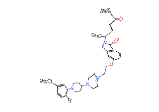 CCc1ccc(OC)cc1N1CCC(N2CCN(CCOc3ccc4c(c3)CN(C(C=O)CCC(=O)NC)C4=O)CC2)CC1